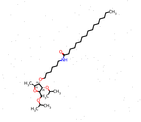 CCCCCCCCCCCCCCCC(=O)NCCCCCCO[C@H]1[C@H](C)OC(COC(C)C)[C@H]1OC(C)C